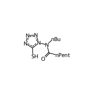 CCCCCC(=O)N(CCCC)n1nnnc1S